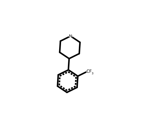 FC(F)(F)c1ccccc1C1CC[N]CC1